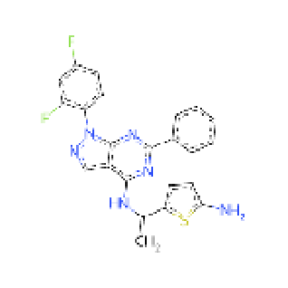 C=C(Nc1nc(-c2ccccc2)nc2c1cnn2-c1ccc(F)cc1F)c1ccc(N)s1